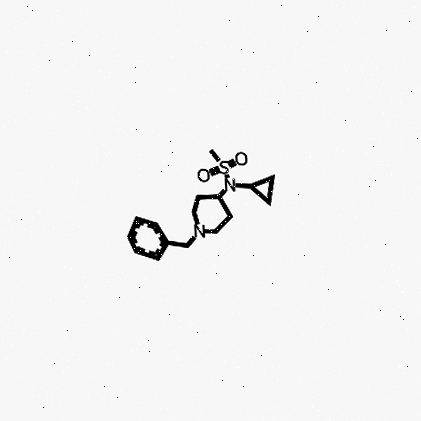 CS(=O)(=O)N(C1CC1)C1CCN(Cc2ccccc2)CC1